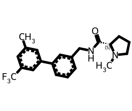 Cc1cc(-c2cccc(CNC(=O)[C@@H]3CCCN3C)c2)cc(C(F)(F)F)c1